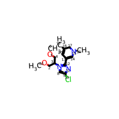 COCC(COC)n1cc(Cl)nc1C1=CN(C)CC(C)=C1